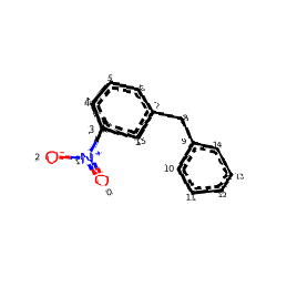 O=[N+]([O-])c1cccc([CH]c2ccccc2)c1